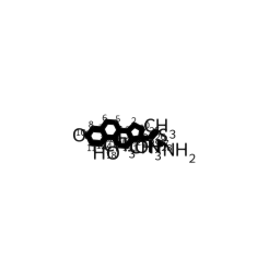 CC1CC2C3CCC4=CC(=O)C=CC4(C)C3(F)C(O)CC2(C)C1(O)c1csc(N)n1